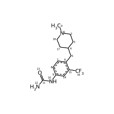 CN1CCC(Cc2ccc(NC(N)=O)cc2C(F)(F)F)CC1